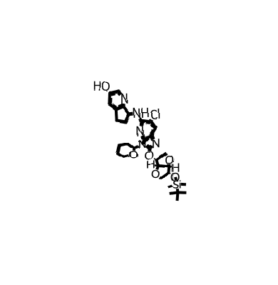 CC(C)(C)[Si](C)(C)O[C@@H]1CO[C@H]2[C@@H]1OC[C@H]2Oc1nc2cc(Cl)c(NC3CCc4cc(O)cnc43)nc2n1C1CCCCO1